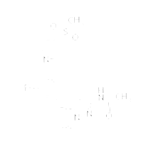 CC(=O)Nc1cc2c(-c3ccc(CN4CCC(S(C)(=O)=O)CC4)c(F)c3)cccn2n1